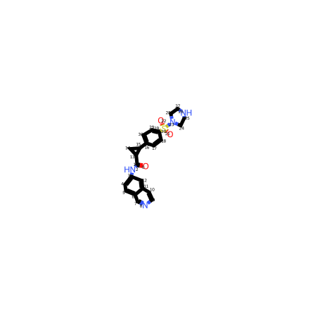 O=C(Nc1ccc2cnccc2c1)C1CC1c1ccc(S(=O)(=O)N2CCNCC2)cc1